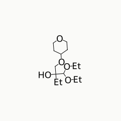 CCOC(OCC)C(O)(CC)COC1CCOCC1